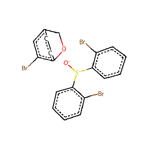 Brc1cc2ccc1OC2.[O-][S+](c1ccccc1Br)c1ccccc1Br